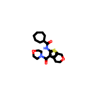 O=C(Nc1sc2c(c1C(=O)N1CCOCC1)CCOC2)C1CCCCCC1